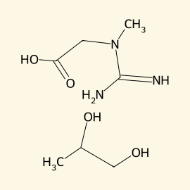 CC(O)CO.CN(CC(=O)O)C(=N)N